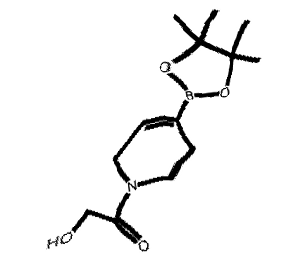 CC1(C)OB(C2=CCN(C(=O)CO)CC2)OC1(C)C